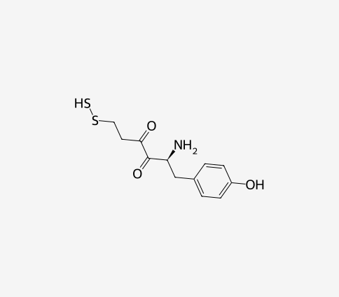 N[C@@H](Cc1ccc(O)cc1)C(=O)C(=O)CCSS